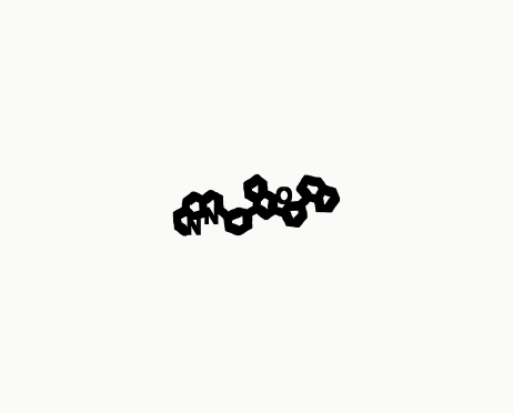 c1cc(-c2ccc3ccc4cccnc4c3n2)cc(-c2cc3c4cccc(-c5cccc6ccccc56)c4oc3c3ccccc23)c1